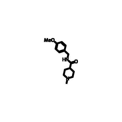 COc1ccc(CNC(=O)C2CCN(C)CC2)cc1